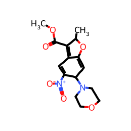 COC(=O)C1=C2C=C([N+](=O)[O-])C(N3CCOCC3)C=C2OC1C